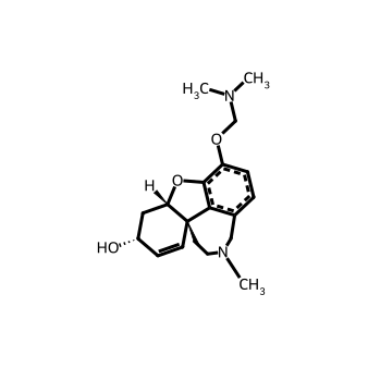 CN(C)COc1ccc2c3c1O[C@H]1C[C@@H](O)C=C[C@@]31CCN(C)C2